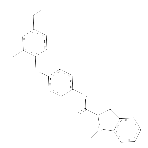 CN1c2ccccc2CC1C(=O)Nc1ccc(Oc2ccc(CC(=O)O)cc2Cl)nc1